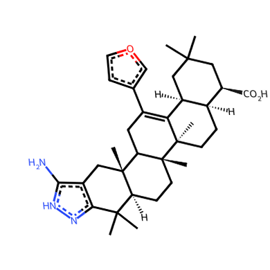 CC1(C)C[C@@H]2C3=C(c4ccoc4)CC4[C@@]5(C)Cc6c(n[nH]c6N)C(C)(C)[C@@H]5CC[C@@]4(C)[C@]3(C)CC[C@@H]2[C@H](C(=O)O)C1